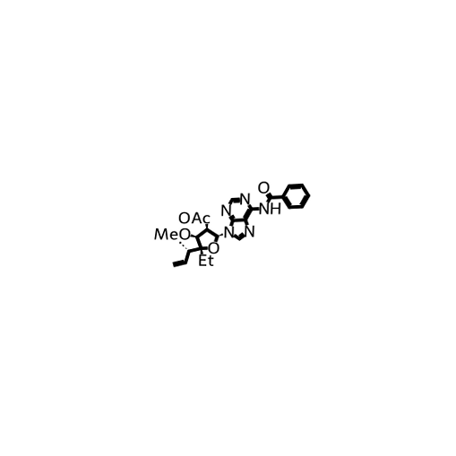 C=C[C@H](C)[C@@]1(CC)O[C@@H](n2cnc3c(NC(=O)c4ccccc4)ncnc32)[C@H](OC(C)=O)[C@@H]1OC